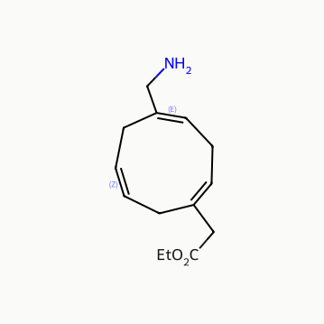 CCOC(=O)CC1=CC/C=C(/CN)C/C=C\C1